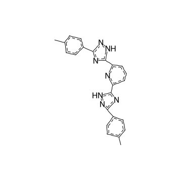 Cc1ccc(-c2n[nH]c(-c3cccc(-c4nc(-c5ccc(C)cc5)n[nH]4)n3)n2)cc1